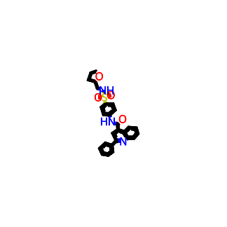 O=C(Nc1ccc(S(=O)(=O)NCC2CCCO2)cc1)c1cc(-c2ccccc2)nc2ccccc12